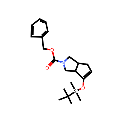 CC(C)(C)[Si](C)(C)OC1=CCC2CN(C(=O)OCc3ccccc3)CC12